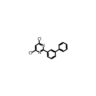 Clc1cc(Cl)nc(-c2cccc(-c3ccccc3)c2)n1